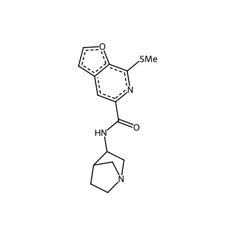 CSc1nc(C(=O)NC2CN3CCC2C3)cc2ccoc12